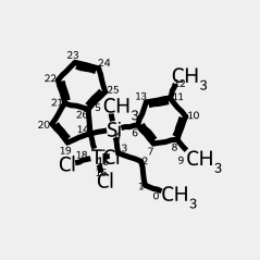 CCCC[Si](C)(c1cc(C)cc(C)c1)[C]1([Ti]([Cl])([Cl])[Cl])C=Cc2ccccc21